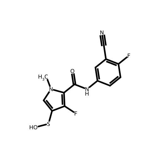 Cn1cc(SO)c(F)c1C(=O)Nc1ccc(F)c(C#N)c1